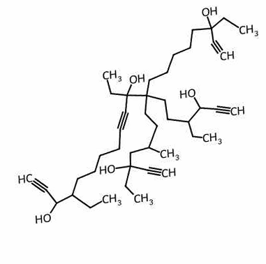 C#CC(O)C(CC)CCCCC#CC(O)(CC)C(CCCCCC(O)(C#C)CC)(CCC(C)CC(O)(C#C)CC)CCC(CC)C(O)C#C